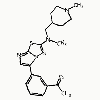 CC(=O)c1cccc(-c2cnc3sc(N(C)CC4CCN(C)CC4)nn23)c1